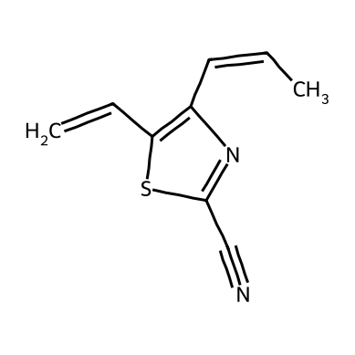 C=Cc1sc(C#N)nc1/C=C\C